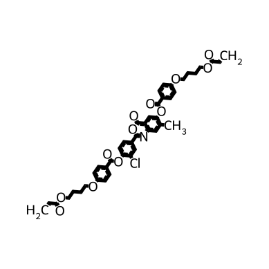 C=CC(=O)OCCCCOc1ccc(C(=O)Oc2cc3c(=O)oc(-c4ccc(OC(=O)c5ccc(OCCCCOC(=O)C=C)cc5)c(Cl)c4)nc3cc2C)cc1